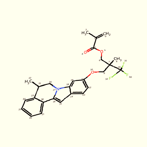 C=C(C)C(=O)OCC(C)(COc1ccc2cc3n(c2c1)CC(C)c1ccccc1-3)C(F)(F)F